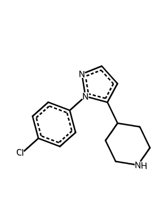 Clc1ccc(-n2nccc2C2CCNCC2)cc1